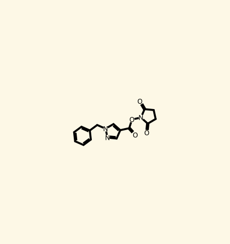 O=C(ON1C(=O)CCC1=O)c1cnn(Cc2ccccc2)c1